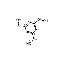 OOc1nc(OO)nc(OO)n1